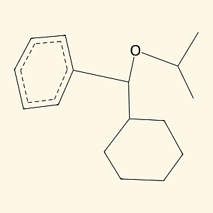 CC(C)OC(c1ccccc1)C1CCCCC1